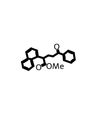 COC(=O)C(CCC(=O)c1ccccc1)c1cccc2ccccc12